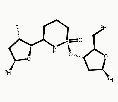 [2H]C[C@H]1O[C@@H]([3H])C[C@@H]1O[P@]1(=O)CCC[C@H]([C@H]2O[C@@H]([3H])C[C@@H]2C)N1